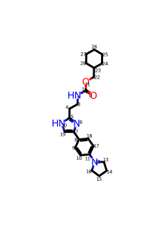 O=C(NCCc1nc(-c2ccc(N3CCCC3)cc2)c[nH]1)OCC1CCCCC1